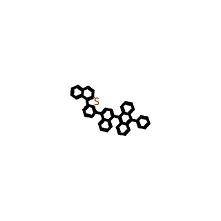 c1ccc(-c2c3ccccc3c(-c3ccc(-c4cccc5c4sc4ccc6ccccc6c45)c4ccccc34)c3ccccc23)cc1